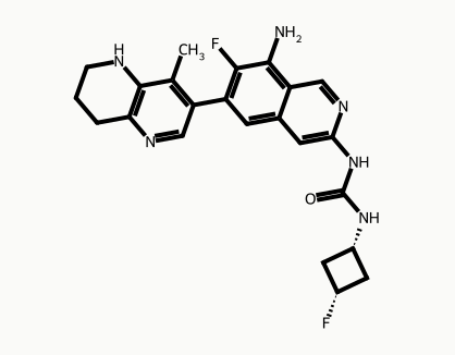 Cc1c(-c2cc3cc(NC(=O)N[C@H]4C[C@@H](F)C4)ncc3c(N)c2F)cnc2c1NCCC2